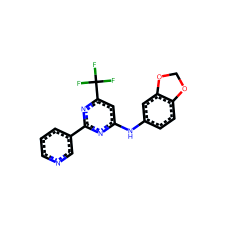 FC(F)(F)c1cc(Nc2ccc3c(c2)OCO3)nc(-c2cccnc2)n1